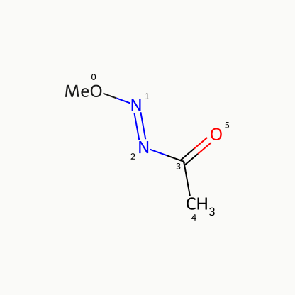 CON=NC(C)=O